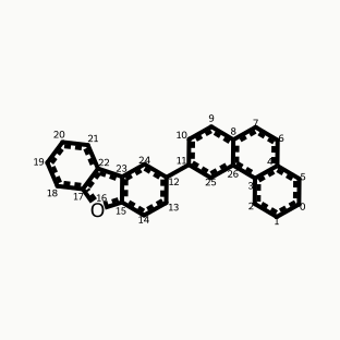 c1ccc2c(c1)ccc1ccc(-c3ccc4oc5ccccc5c4c3)cc12